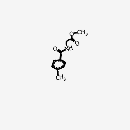 COC(=O)CNC(=O)c1ccc(C)cc1